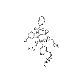 [C-]#[N+]/C=C\c1cccc(P(=O)(OCC)c2c(C(=O)OCC)n(S(=O)(=O)c3ccccc3)c3ccc(Cl)cc23)c1